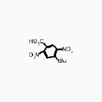 CC(C)(C)c1cc([N+](=O)[O-])c(C(=O)O)cc1[N+](=O)[O-]